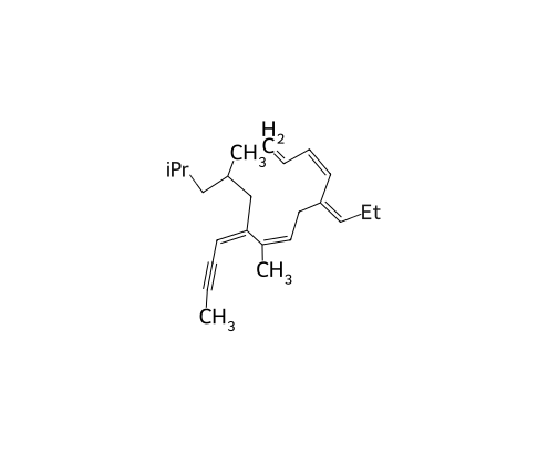 C=C/C=C\C(=C/CC)C/C=C(C)\C(=C/C#CC)CC(C)CC(C)C